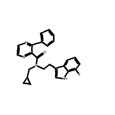 O=C(c1nccnc1-c1ccccc1)N(CCc1c[nH]c2c(F)cccc12)CC1CC1